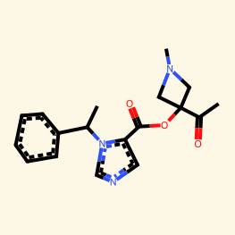 CC(=O)C1(OC(=O)c2cncn2C(C)c2ccccc2)CN(C)C1